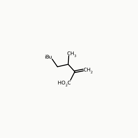 C=C(C(=O)O)C(C)CC(C)CC